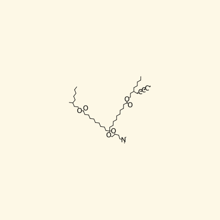 C=C=C=C=CC(CCCCC)CCOC(=O)CCCCCCCCCC1(CCCCCCCCCC(=O)OCCC(C)CCCCC)OCC(CCN(C)C)O1